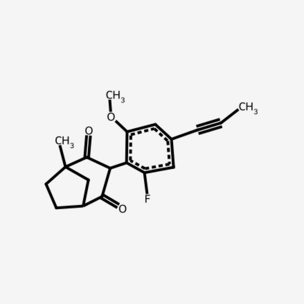 CC#Cc1cc(F)c(C2C(=O)C3CCC(C)(C3)C2=O)c(OC)c1